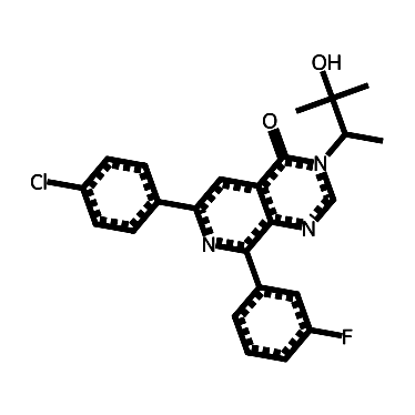 CC(n1cnc2c(-c3cccc(F)c3)nc(-c3ccc(Cl)cc3)cc2c1=O)C(C)(C)O